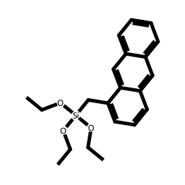 CCO[Si](Cc1cccc2cc3ccccc3cc12)(OCC)OCC